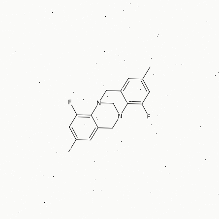 Cc1cc(F)c2c(c1)CN1CN2Cc2cc(C)cc(F)c21